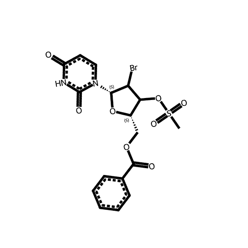 CS(=O)(=O)OC1C(Br)[C@@H](n2ccc(=O)[nH]c2=O)O[C@H]1COC(=O)c1ccccc1